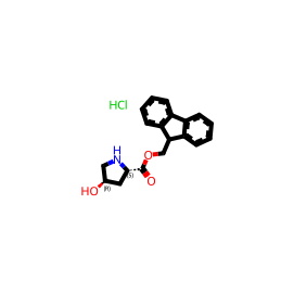 Cl.O=C(OCC1c2ccccc2-c2ccccc21)[C@@H]1C[C@@H](O)CN1